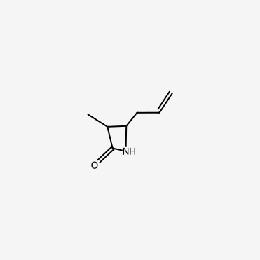 C=CCC1NC(=O)C1C